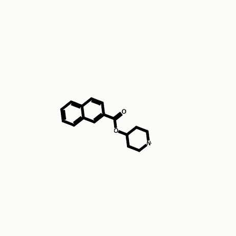 O=C(OC1CC[N]CC1)c1ccc2ccccc2c1